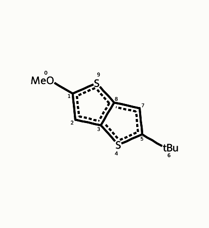 COc1cc2sc(C(C)(C)C)cc2s1